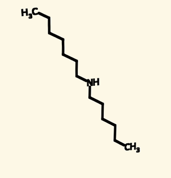 CCCCCCCNCCCCCC